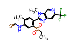 CCS(=O)(=O)c1cc(NC=S)c(C)cc1-c1nc2cc(C(F)(F)F)ncc2n1C